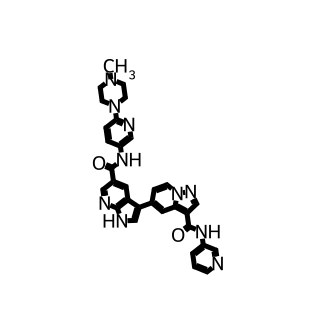 CN1CCN(c2ccc(NC(=O)c3cnc4[nH]cc(-c5ccn6ncc(C(=O)Nc7cccnc7)c6c5)c4c3)cn2)CC1